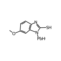 COc1ccc2nc(S)[n]([PbH])c2c1